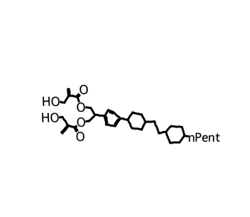 C=C(CO)C(=O)OCC(COC(=O)C(=C)CO)c1ccc(C2CCC(CCC3CCC(CCCCC)CC3)CC2)cc1